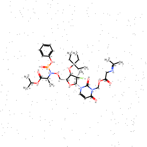 CC[Si](CC)(CC)O[C@@H]1[C@@H](CON([C@@H](C)C(=O)OC(C)C)[PH](=O)Oc2ccccc2)O[C@@H](n2ccc(=O)n(COC(=O)CN=C(C)C)c2=O)[C@]1(C)F